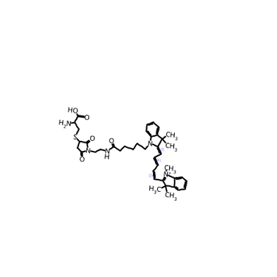 C[N+]1=C(\C=C/C=C/C=C2\N(CCCCCC(=O)NCCN3C(=O)CC(SCC(N)C(=O)O)C3=O)c3ccccc3C2(C)C)C(C)(C)c2ccccc21